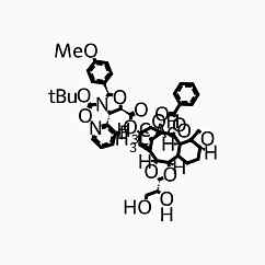 COc1ccc([C@H]2O[C@@H](C(=O)O[C@@H]3C=C4[C@H]5O[C@@H](C(O)CO)O[C@H]5C5CC[C@H]6OC[C@@]6(OC(C)=O)[C@H]5[C@H](OC(=O)c5ccccc5)[C@](O)(C3)C4(C)C)[C@H](c3ncccc3F)N2C(=O)OC(C)(C)C)cc1